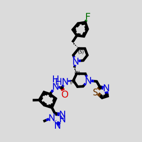 Cc1cc(NC(=O)N[C@@H]2CCN(Cc3nccs3)C[C@H]2CN2CCC[C@@H](Cc3ccc(F)cc3)C2)cc(-c2nnnn2C)c1